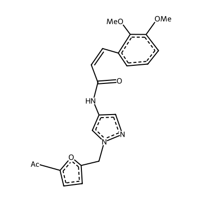 COc1cccc(/C=C\C(=O)Nc2cnn(Cc3ccc(C(C)=O)o3)c2)c1OC